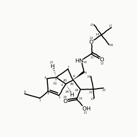 CCC1=C[C@H]2[C@@H](C1)C[C@]2(CNC(=O)OC(C)(C)C)C(C(=O)O)C(C)(C)C